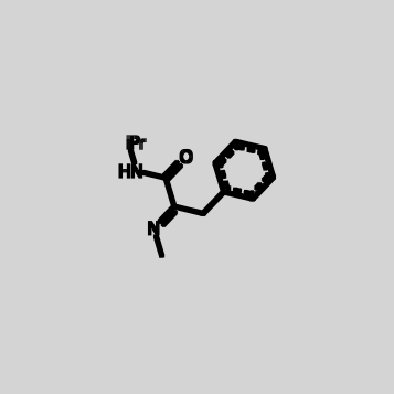 C/N=C(\Cc1ccccc1)C(=O)NC(C)C